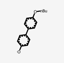 CCCCOc1ccc(-c2ccc([O])cc2)cc1